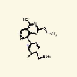 C=N/C(=C\N(C)CCNC)c1nccc2c(O)nc(OCC(F)(F)F)nc12